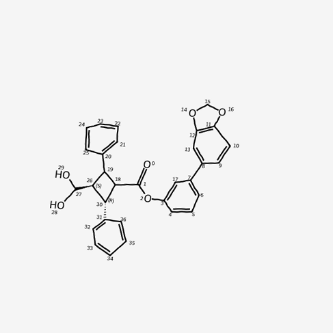 O=C(Oc1cccc(-c2ccc3c(c2)OCO3)c1)C1C(c2ccccc2)[C@H](C(O)O)[C@H]1c1ccccc1